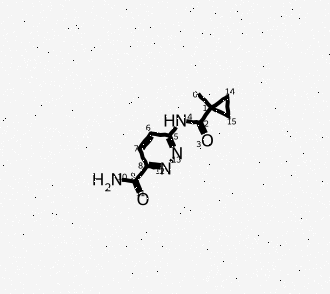 CC1(C(=O)Nc2ccc(C(N)=O)nn2)CC1